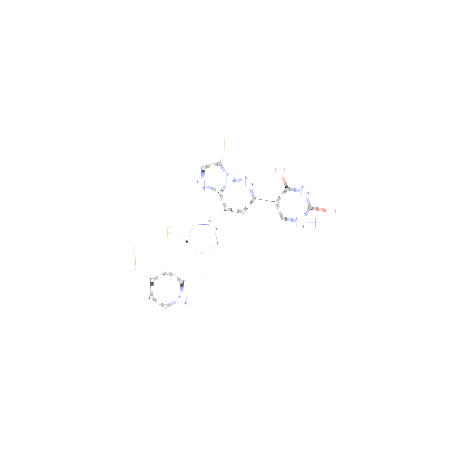 O=c1[nH]cc(-c2cc(N3C[C@H](Oc4cc(C(F)F)c(F)cn4)C(F)(F)C3)c3ncc(F)n3n2)c(=O)[nH]1